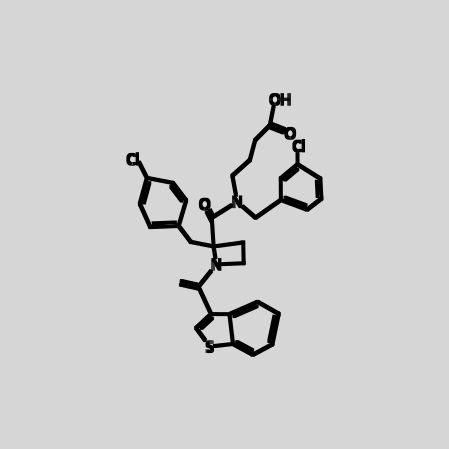 C=C(c1csc2ccccc12)N1CCC1(Cc1ccc(Cl)cc1)C(=O)N(CCCC(=O)O)Cc1cccc(Cl)c1